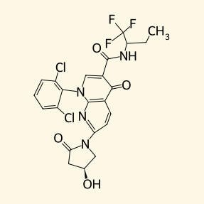 CCC(NC(=O)c1cn(-c2c(Cl)cccc2Cl)c2nc(N3C[C@@H](O)CC3=O)ccc2c1=O)C(F)(F)F